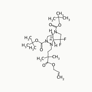 C=CCOC(=O)C(C)(C)CCN1[C@@H]2[C@H](CN1C(=O)OC(C)(C)C)N(C(=O)OC(C)(C)C)CC2(F)F